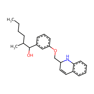 CCCCC(C)C(O)c1cccc(OCC2C=Cc3ccccc3N2)c1